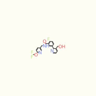 O=C(NCc1ccc(OC(F)F)nc1)c1cc(-c2ncccc2CO)ccc1F